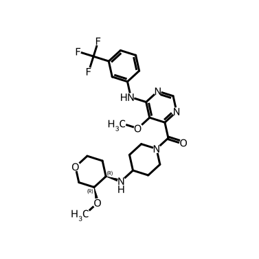 COc1c(Nc2cccc(C(F)(F)F)c2)ncnc1C(=O)N1CCC(N[C@@H]2CCOC[C@@H]2OC)CC1